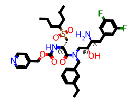 CCCC(CCC)S(=O)(=O)C[C@@H](NC(=O)OCc1ccncc1)C(=O)N(Cc1cccc(CC)c1)C[C@@H](O)[C@@H](N)Cc1cc(F)cc(F)c1